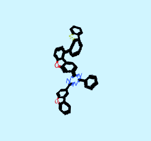 c1ccc(-c2nc(-c3ccc4c(c3)oc3cccc(-c5cccc6c5sc5ccccc56)c34)nc(-c3ccc4oc5ccccc5c4c3)n2)cc1